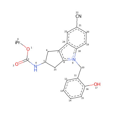 CC(C)OC(=O)NC1Cc2c(n(Cc3ccccc3O)c3ccc(C#N)cc23)C1